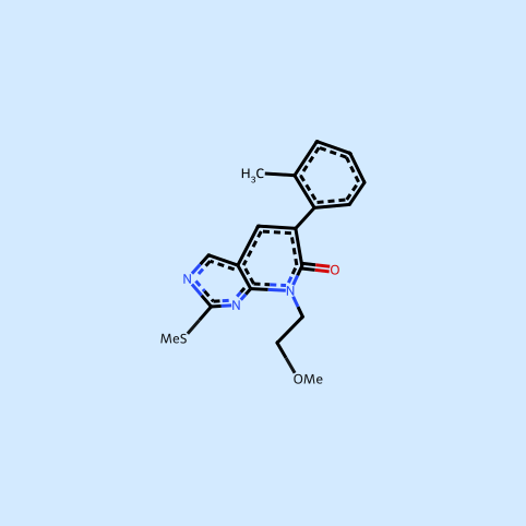 COCCn1c(=O)c(-c2ccccc2C)cc2cnc(SC)nc21